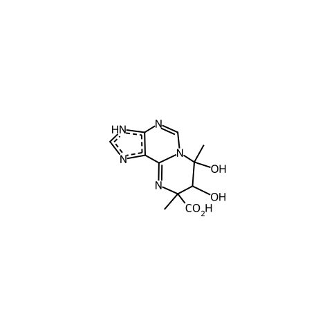 CC1(C(=O)O)N=C2c3nc[nH]c3N=CN2C(C)(O)C1O